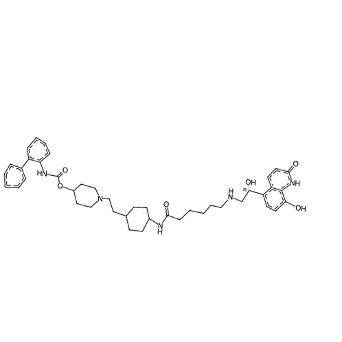 O=C(CCCCCNC[C@H](O)c1ccc(O)c2[nH]c(=O)ccc12)NC1CCC(CCN2CCC(OC(=O)Nc3ccccc3-c3ccccc3)CC2)CC1